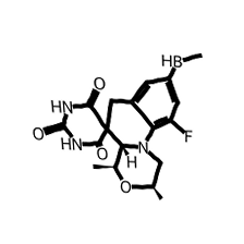 CBc1cc(F)c2c(c1)CC1(C(=O)NC(=O)NC1=O)[C@H]1[C@H](C)O[C@H](C)CN21